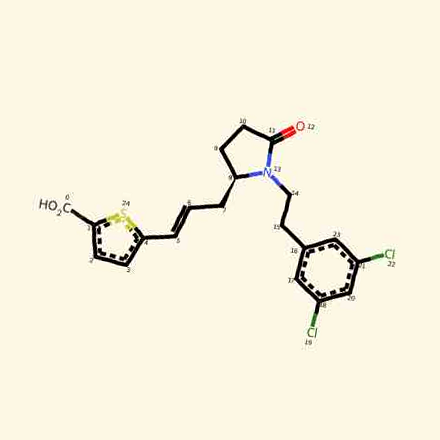 O=C(O)c1ccc(/C=C/C[C@H]2CCC(=O)N2CCc2cc(Cl)cc(Cl)c2)s1